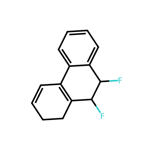 FC1C2=C(C=CCC2)c2ccccc2C1F